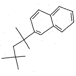 CC(C)(C)CC(C)(C)c1[c]c2ccccc2cc1